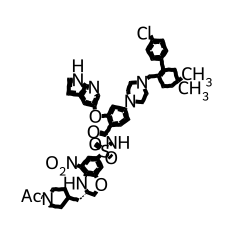 CC(=O)N1CCC(C[C@H]2COc3cc(S(=O)(=O)NC(=O)c4ccc(N5CCN(CC6=C(c7ccc(Cl)cc7)CC(C)(C)CC6)CC5)cc4Oc4cnc5[nH]ccc5c4)cc([N+](=O)[O-])c3N2)CC1